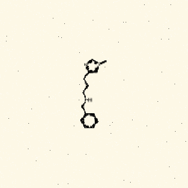 Cn1cnc(CCCNCc2ccccc2)c1